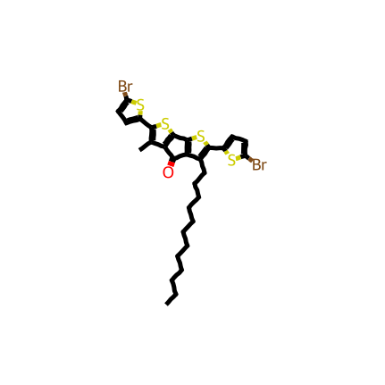 CCCCCCCCCCCCc1c(-c2ccc(Br)s2)sc2c1C(=O)c1c-2sc(-c2ccc(Br)s2)c1C